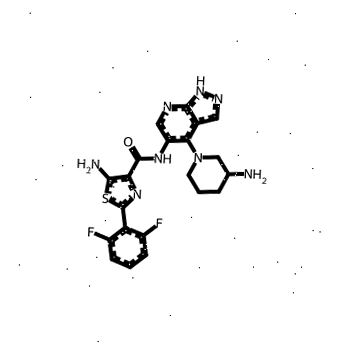 Nc1sc(-c2c(F)cccc2F)nc1C(=O)Nc1cnc2[nH]ncc2c1N1CCCC(N)C1